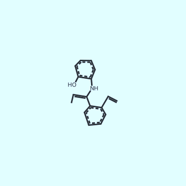 C=Cc1ccccc1/C(=C\C)Nc1ccccc1O